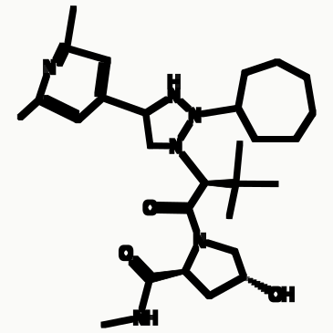 CNC(=O)[C@@H]1C[C@@H](O)CN1C(=O)[C@@H](N1CC(c2cc(C)nc(C)c2)NN1C1CCCCCC1)C(C)(C)C